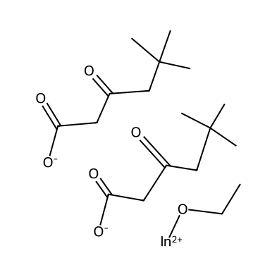 CC(C)(C)CC(=O)CC(=O)[O-].CC(C)(C)CC(=O)CC(=O)[O-].CC[O][In+2]